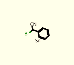 N#CC(Br)c1ccccc1.[Sn]